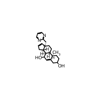 C[C@]12CCC(O)CC1=CC(O)[C@H]1[C@@H]3CC=C[C@@]3(Cc3ncccn3)CC[C@@H]12